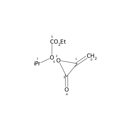 C=C1OC1=O.CCOC(=O)OC(C)C